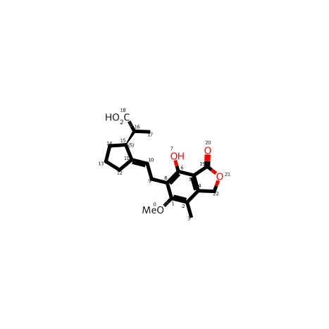 COc1c(C)c2c(c(O)c1CC=C1CCC[C@H]1C(C)C(=O)O)C(=O)OC2